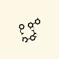 O=C(Cc1ccccc1)Nc1cncc(-c2ccc3[nH]nc(C4Nc5cccc(-c6cccc(F)c6)c5N4)c3c2)c1